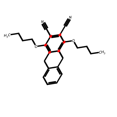 CCCCOc1c(C#N)c(C#N)c(OCCCC)c2c1C1c3ccccc3C2c2ccccc21